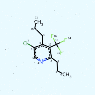 CCCc1n[c]c(Cl)c(CCC)c1C(F)(F)F